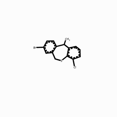 CC1c2ccc(Br)cc2CSc2c(Cl)cccc21